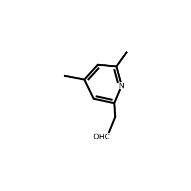 Cc1cc(C)nc(CC=O)c1